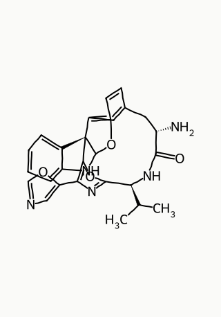 CC(C)[C@@H]1NC(=O)[C@@H](N)Cc2ccc3c(c2)[C@@]2(c4ccccc4NC2O3)c2oc1nc2-c1cnco1